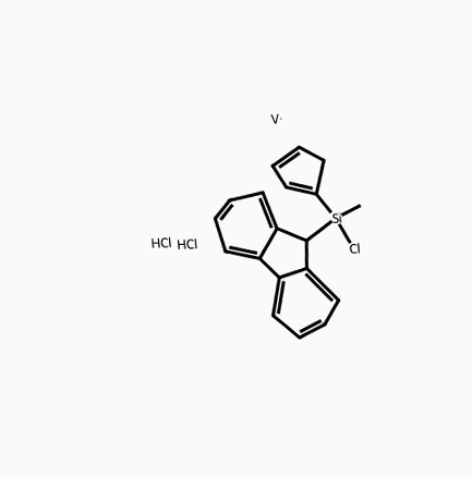 C[Si](Cl)(C1=CC=CC1)C1c2ccccc2-c2ccccc21.Cl.Cl.[V]